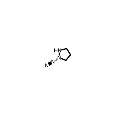 N#[N+]N1CCCN1